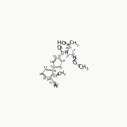 CO/N=C1/C[C@@H]([C@@H](C)O)N(C(=O)c2ccc(-c3cccc(C#N)c3C)cc2)C1